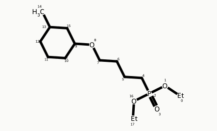 CCOP(=O)(CCCCOC1[CH]CCC(C)C1)OCC